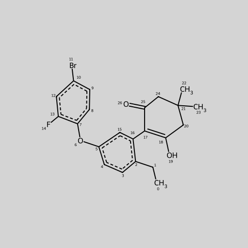 CCc1ccc(Oc2ccc(Br)cc2F)cc1C1=C(O)CC(C)(C)CC1=O